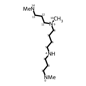 CNCCCNCCCCN(C)CCCNC